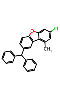 Cc1cc(Cl)cc2oc3ccc(C(c4ccccc4)c4ccccc4)cc3c12